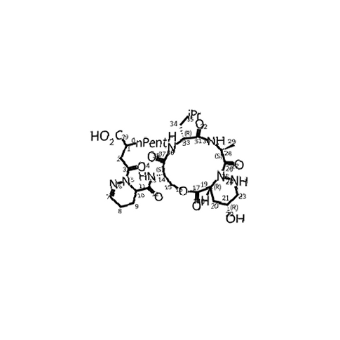 CCCCCC(CC(=O)N1N=CCCC1C(=O)N[C@H]1COC(=O)[C@H]2C[C@@H](O)CNN2C(=O)[C@H](C)NC(=O)[C@@H](CC(C)C)NC1=O)C(=O)O